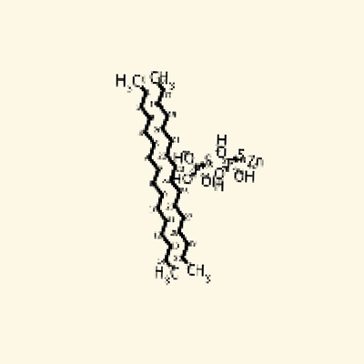 CCCCCCCCCCCCCCCC.CCCCCCCCCCCCCCCC.OP(O)(O)=S.OP(O)(O)=S.[Zn]